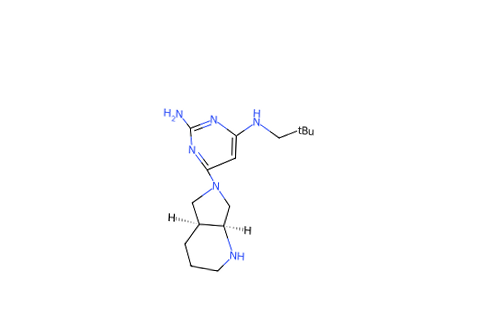 CC(C)(C)CNc1cc(N2C[C@@H]3CCCN[C@@H]3C2)nc(N)n1